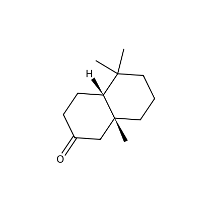 CC1(C)CCC[C@]2(C)CC(=O)CC[C@H]12